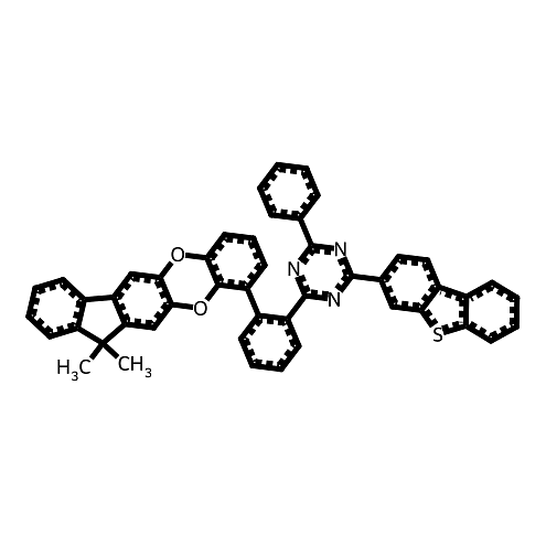 CC1(C)c2ccccc2-c2cc3c(cc21)Oc1c(cccc1-c1ccccc1-c1nc(-c2ccccc2)nc(-c2ccc4c(c2)sc2ccccc24)n1)O3